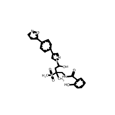 CC(CNC(=O)c1ccccc1O)(CC(O)n1cc(-c2ccc(-c3ccno3)cc2)cn1)S(C)(=O)=O